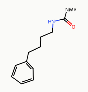 CNC(=O)NCCCCc1ccccc1